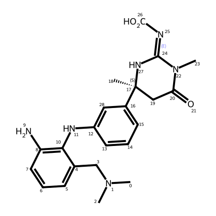 CN(C)Cc1cccc(N)c1Nc1cccc([C@]2(C)CC(=O)N(C)/C(=N/C(=O)O)N2)c1